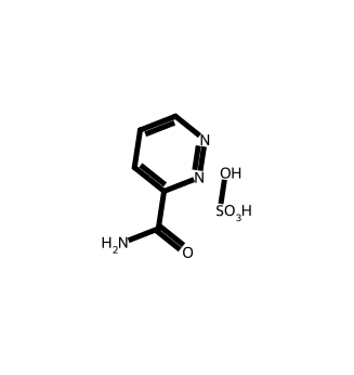 NC(=O)c1cccnn1.O=S(=O)(O)O